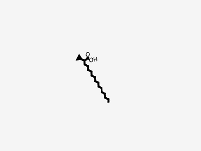 CCCCCCCCCCCCCCCC(C(=O)O)C1CC1